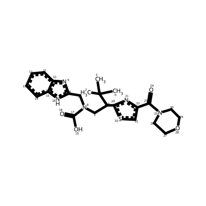 CC(C)(C)C(CN(Cc1nc2ccccc2[nH]1)C(=O)O)c1nc(C(=O)N2CCOCC2)cs1